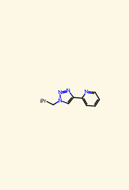 CC(C)Cn1cc(-c2ccccn2)nn1